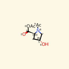 CC(=O)OC(=O)[C@@H]1C[C@@H](O)CN1C(C)=O